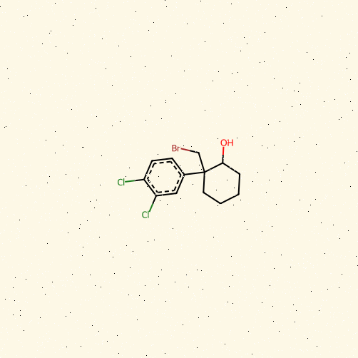 OC1CCCCC1(CBr)c1ccc(Cl)c(Cl)c1